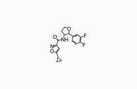 O=C(NC1CCOC1c1ccc(F)c(F)c1)c1cc(C2CC2)on1